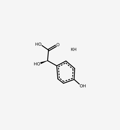 O=C(O)[C@H](O)c1ccc(O)cc1.[KH]